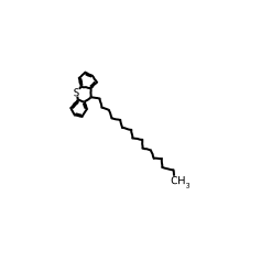 CCCCCCCCCCCCCCCCC1c2ccccc2Sc2ccccc21